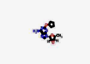 C[C@H]1O[C@@H](n2cnc3c(N)nc(OC4CCCC4)nc32)[C@H]2O[C@@H]21